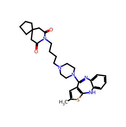 Cc1cc2c(s1)Nc1ccccc1N=C2N1CCN(CCCCN2C(=O)CC3(CCCC3)CC2=O)CC1